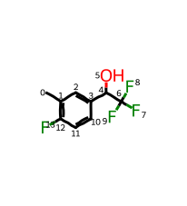 Cc1cc(C(O)C(F)(F)F)ccc1F